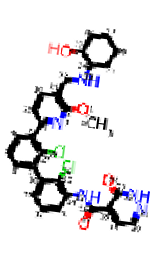 COc1nc(-c2cccc(-c3cccc(NC(=O)c4ccn[nH]c4=O)c3Cl)c2Cl)ccc1CNC1CCCCC1O